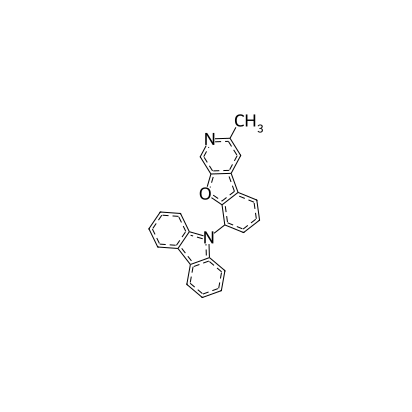 Cc1cc2c(cn1)oc1c(-n3c4ccccc4c4ccccc43)cccc12